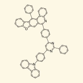 c1ccc(-c2nc(-c3ccc(-c4nc5ccccc5c5c(-c6ccccc6)c6c(cc45)oc4ccccc46)cc3)cc(-c3ccc(-n4c5ccccc5c5ccccc54)cc3)n2)cc1